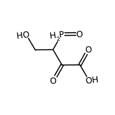 O=[PH2]C(CO)C(=O)C(=O)O